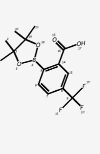 CC1(C)OB(c2ccc(C(F)(F)F)cc2C(=O)O)OC1(C)C